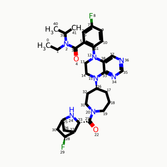 CCN(C(=O)c1cc(F)ccc1N1CCN([C@H]2CCCN(C(=O)[C@H]3NC4CC3[C@@H](F)C4)CC2)c2ncncc21)C(C)C